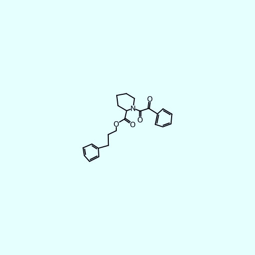 O=C(C(=O)N1CCCCC1C(=O)OCCCc1ccccc1)c1ccccc1